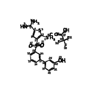 CSc1sc(C(=N)N)cc1S(=O)(=O)c1cccc(-c2cccc(O)c2)c1.O=C(O)C(F)(F)F